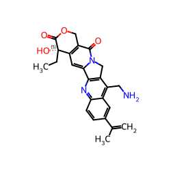 C=C(C)c1ccc2nc3c(c(CN)c2c1)Cn1c-3cc2c(c1=O)COC(=O)[C@]2(O)CC